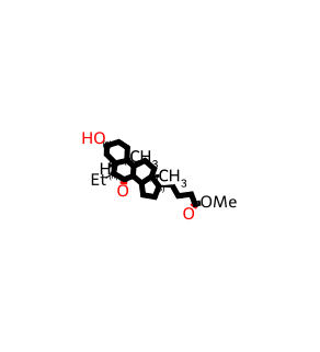 CC[C@H]1C(=O)C2C3CC[C@H](CCCC(=O)OC)[C@@]3(C)CCC2[C@@]2(C)CC[C@H](O)C[C@@H]12